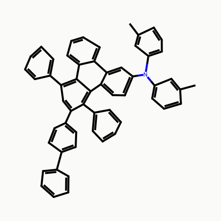 Cc1cccc(N(c2cccc(C)c2)c2ccc3c(c2)c2ccccc2c2c(-c4ccccc4)cc(-c4ccc(-c5ccccc5)cc4)c(-c4ccccc4)c32)c1